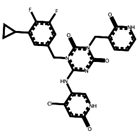 O=c1cc(Cl)c(Nc2nc(=O)n(Cc3ccc[nH]c3=O)c(=O)n2Cc2cc(F)c(F)c(C3CC3)c2)c[nH]1